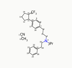 CC#N.CC(C)N(CCCc1ccc(C2CCCC2C(F)(F)F)cc1)CCc1ccccc1